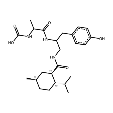 CC(NC(=O)O)C(=O)NC(CNC(=O)[C@@H]1C[C@H](C)CC[C@H]1C(C)C)Cc1ccc(O)cc1